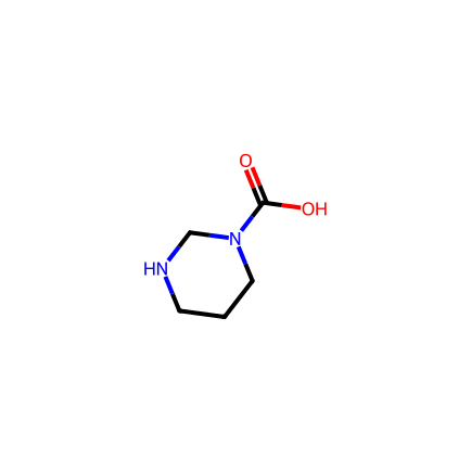 O=C(O)N1CCCNC1